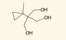 CC1(C(CO)(CO)CO)CC1